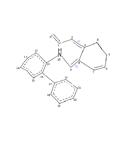 C=C/C=C1/CCC=C/C1=C/Nc1ccccc1-c1ccccc1